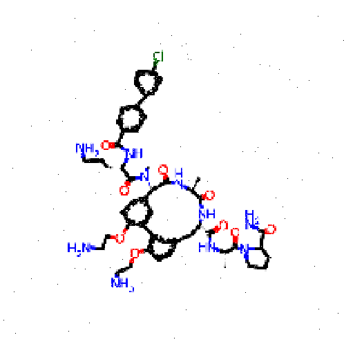 C[C@@H]1NC(=O)[C@@H](N(C)C(=O)[C@H](CCCN)NC(=O)c2ccc(-c3ccc(Cl)cc3)cc2)c2ccc(OCCN)c(c2)-c2cc(ccc2OCCN)C[C@@H](C(=O)N[C@@H](C)C(=O)N2CCCC2C(N)=O)NC1=O